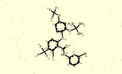 BC(B)(B)Oc1cc(OC(F)(F)F)ccc1Oc1ccc(C(F)(F)F)c(F)c1C(=O)Nc1cccc(Br)n1